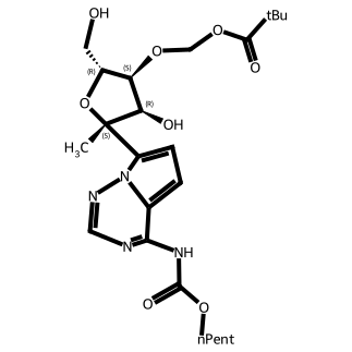 CCCCCOC(=O)Nc1ncnn2c([C@]3(C)O[C@H](CO)[C@@H](OCOC(=O)C(C)(C)C)[C@H]3O)ccc12